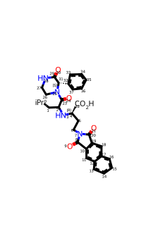 CC(C)CC(N[C@H](CCN1C(=O)c2cc3ccccc3cc2C1=O)C(=O)O)C(=O)N1CCNC(=O)[C@@H]1c1ccccc1